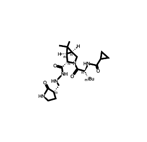 CC[C@@H](C)[C@H](NC(=O)C1CC1)C(=O)N1C[C@H]2[C@@H]([C@H]1C(=O)NNC[C@@H]1CCNC1=O)C2(C)C